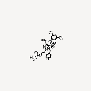 CC(C)c1nc(CCOC(N)=O)n(Cc2ccncc2)c1S(=O)(=O)Oc1cc(Cl)cc(Cl)c1